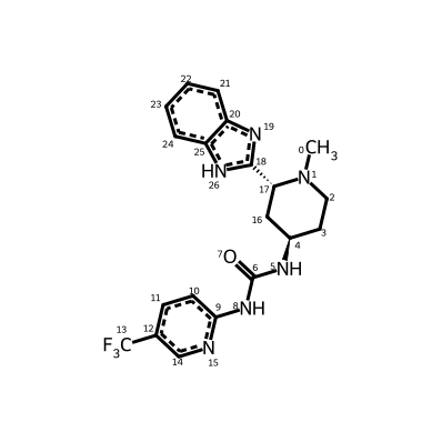 CN1CC[C@@H](NC(=O)Nc2ccc(C(F)(F)F)cn2)C[C@@H]1c1nc2ccccc2[nH]1